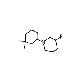 CC1(C)[CH]CCC(N2CCCC(F)C2)C1